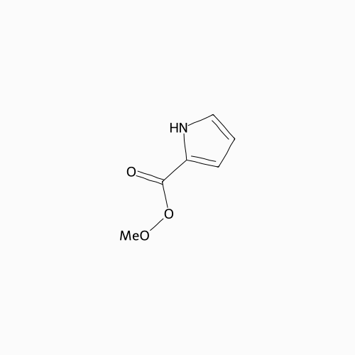 COOC(=O)c1ccc[nH]1